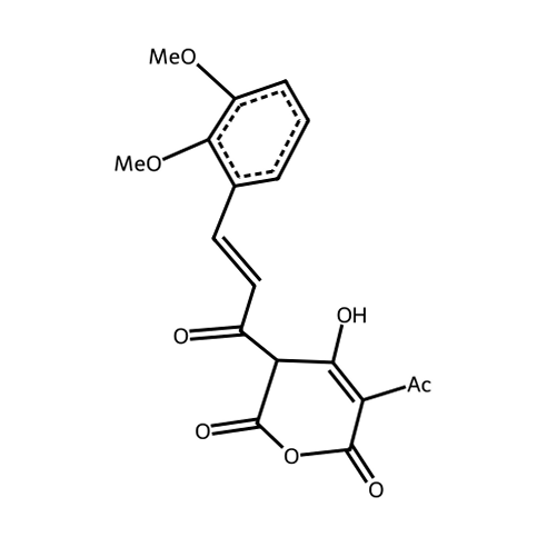 COc1cccc(/C=C/C(=O)C2C(=O)OC(=O)C(C(C)=O)=C2O)c1OC